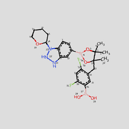 CC1(C)OB(c2ccc3c(c2)NNN3C2CCCCO2)OC1(C)Cc1cc(B(O)O)c(F)cc1F